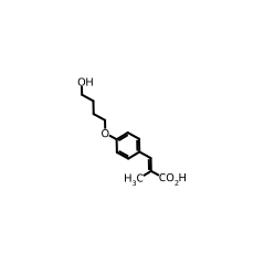 C/C(=C\c1ccc(OCCCCO)cc1)C(=O)O